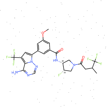 COc1cc(C(=O)N[C@@H]2CN(C(=O)CC(C)C(F)(F)F)C[C@@H]2F)cc(-c2cc(C(F)(F)F)c3c(N)ncnn23)c1